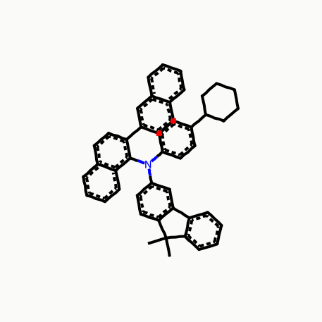 CC1(C)c2ccccc2-c2cc(N(c3ccc(C4CCCCC4)cc3)c3c(-c4ccc5ccccc5c4)ccc4ccccc34)ccc21